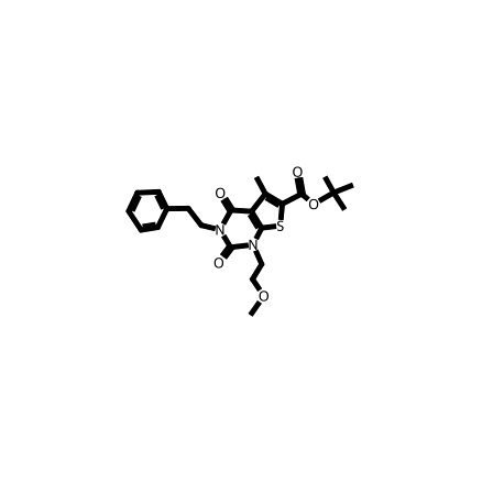 COCCn1c(=O)n(CCc2ccccc2)c(=O)c2c(C)c(C(=O)OC(C)(C)C)sc21